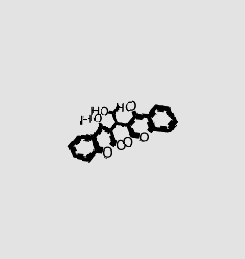 CC(O)C(c1c(O)c2ccccc2oc1=O)c1c(O)c2ccccc2oc1=O